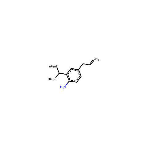 C=CCc1ccc(N)c(C(CCCCC)C(=O)O)c1